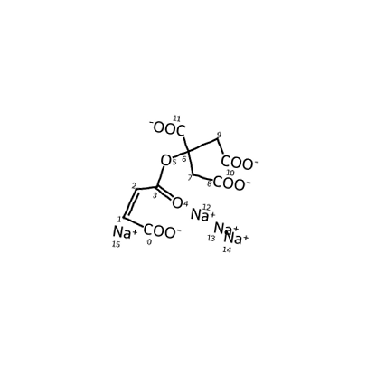 O=C([O-])/C=C\C(=O)OC(CC(=O)[O-])(CC(=O)[O-])C(=O)[O-].[Na+].[Na+].[Na+].[Na+]